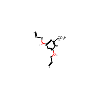 C=CCOc1cc(OCC=C)cc(C(=O)O)c1